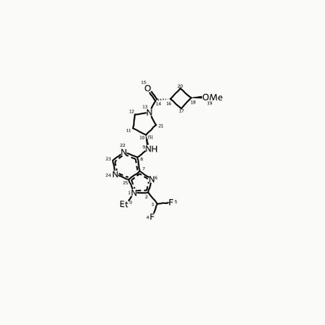 CCn1c(C(F)F)nc2c(N[C@H]3CCN(C(=O)[C@H]4C[C@H](OC)C4)C3)ncnc21